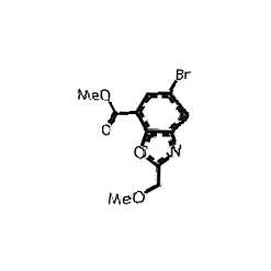 COCc1nc2cc(Br)cc(C(=O)OC)c2o1